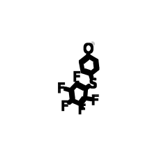 COc1ccc(Sc2c(F)c(F)c(F)c(F)c2F)cc1